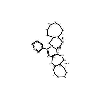 C1=C(c2ccccc2)N2CC3CCCCCCC[C@H]3CN=C2C2=C1CC1CCCCCC[C@@H]1CS2